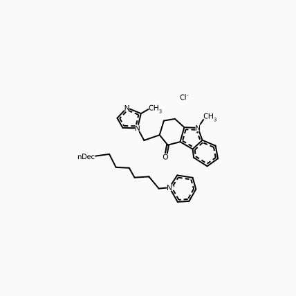 CCCCCCCCCCCCCCCC[n+]1ccccc1.Cc1nccn1CC1CCc2c(c3ccccc3n2C)C1=O.[Cl-]